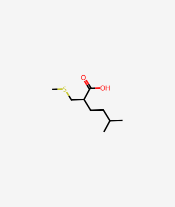 CSCC(CCC(C)C)C(=O)O